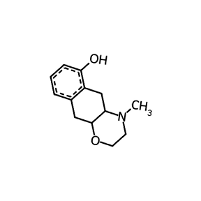 CN1CCOC2Cc3cccc(O)c3CC21